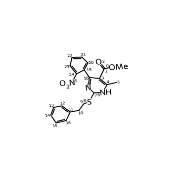 COC(=O)C1=C(C)NC(SCCc2ccccc2)N=C1c1ccccc1[N+](=O)[O-]